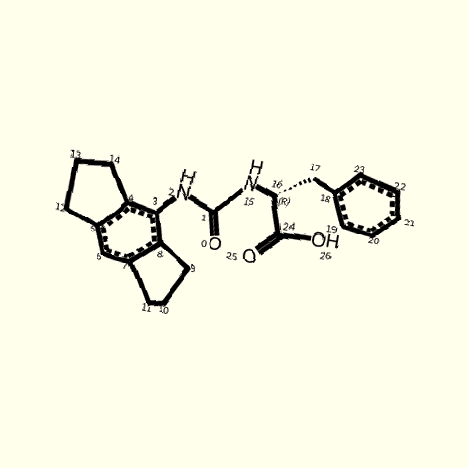 O=C(Nc1c2c(cc3c1CCC3)CCC2)N[C@H](Cc1ccccc1)C(=O)O